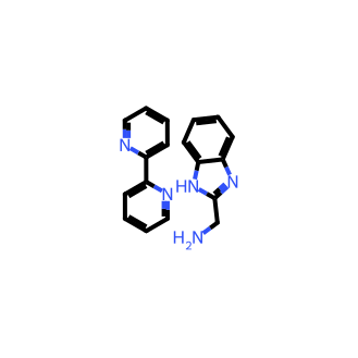 NCc1nc2ccccc2[nH]1.c1ccc(-c2ccccn2)nc1